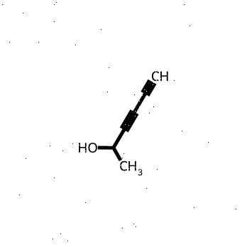 C#CC#CC(C)O